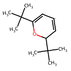 CC(C)(C)C1=C[C]=CC(C(C)(C)C)O1